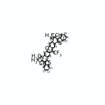 CN1c2cc3c(cc2-c2sc4ccccc4c2C1(C)C)C(C(F)(F)F)=c1cc2c(cc1O3)=NC(C)(C)c1c-2sc2ccccc12